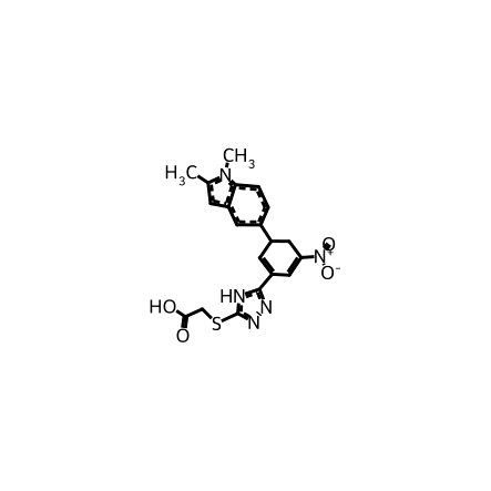 Cc1cc2cc(C3C=C(c4nnc(SCC(=O)O)[nH]4)C=C([N+](=O)[O-])C3)ccc2n1C